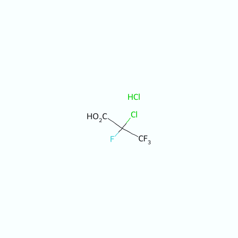 Cl.O=C(O)C(F)(Cl)C(F)(F)F